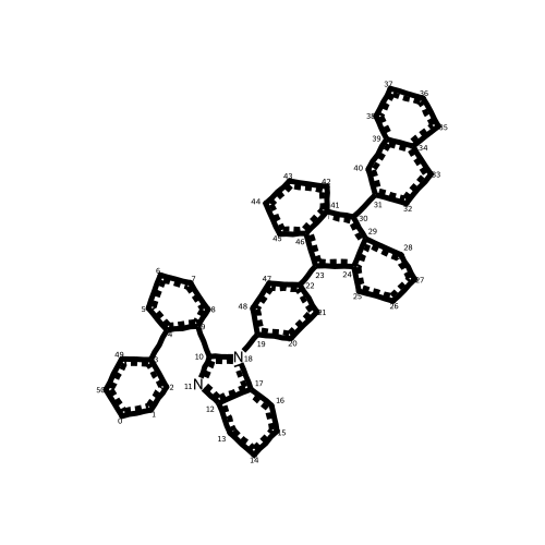 c1ccc(-c2ccccc2-c2nc3ccccc3n2-c2ccc(-c3c4ccccc4c(-c4ccc5ccccc5c4)c4ccccc34)cc2)cc1